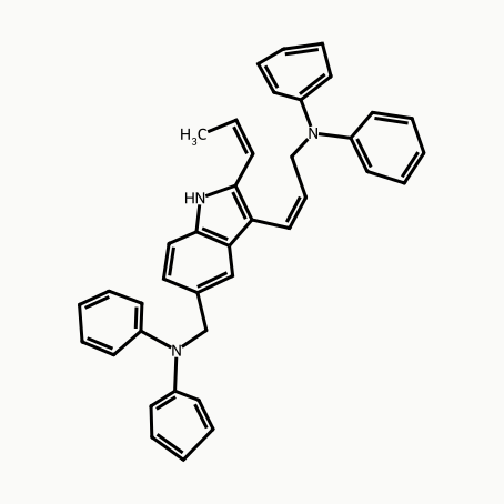 C/C=C\c1[nH]c2ccc(CN(c3ccccc3)c3ccccc3)cc2c1/C=C\CN(c1ccccc1)c1ccccc1